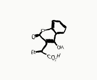 CCC(C(=O)O)c1c(O)c2ccccc2oc1=O